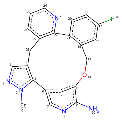 CCn1ncc2c1-c1cnc(N)c(c1)OCc1cc(F)ccc1-c1ncccc1C2